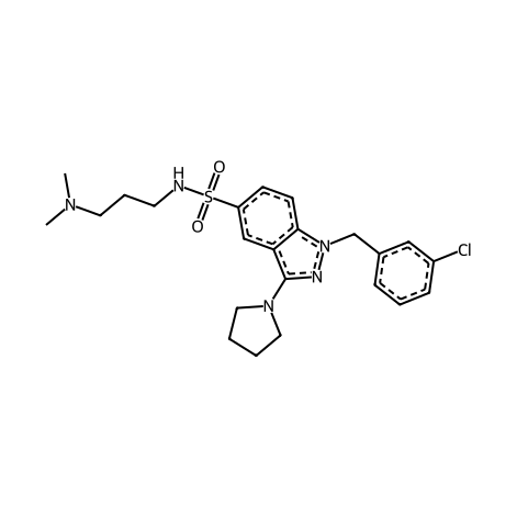 CN(C)CCCNS(=O)(=O)c1ccc2c(c1)c(N1CCCC1)nn2Cc1cccc(Cl)c1